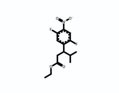 CCOC(=O)CC(c1cc(F)c([N+](=O)[O-])cc1F)C(C)C